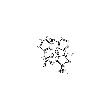 [2H][C@]1(c2cccc(Br)c2)OC(N)=C(OS(=O)(=O)Cc2ccccc2)C1=O